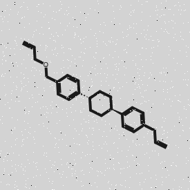 C=CCOCc1ccc([C@H]2CC[C@H](c3ccc(CC=C)cc3)CC2)cc1